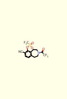 N#Cc1ccc2c(c1OS(=O)(=O)C(F)(F)F)CCN(C(=O)C(F)(F)F)CC2